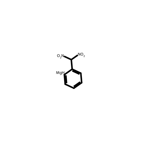 O=[N+]([O-])C(c1ccccc1)[N+](=O)[O-].[MgH2]